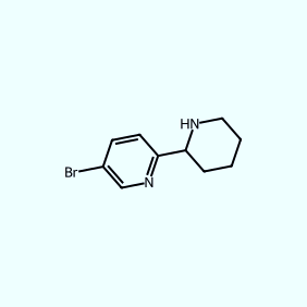 Brc1ccc(C2CCCCN2)nc1